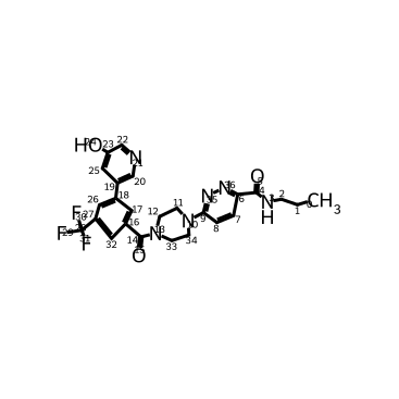 CCCNC(=O)c1ccc(N2CCN(C(=O)c3cc(-c4cncc(O)c4)cc(C(F)(F)F)c3)CC2)nn1